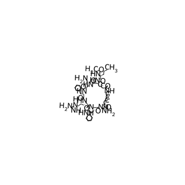 CCCC[C@H](NC(C)=O)C(=O)N[C@H]1CCC(=O)NCCCC[C@@H](C(N)=O)NC(=O)[C@H](Cc2c[nH]c3ccccc23)NC(=O)[C@H](CCCNC(=N)N)NC(=O)[C@@H](Cc2ccccc2)NC(=O)[C@H](CCN)NC1=O